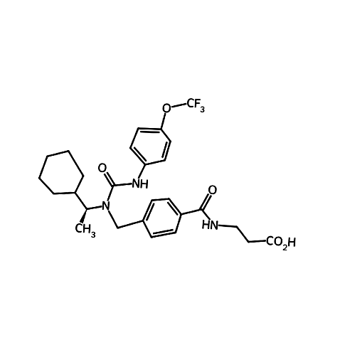 C[C@@H](C1CCCCC1)N(Cc1ccc(C(=O)NCCC(=O)O)cc1)C(=O)Nc1ccc(OC(F)(F)F)cc1